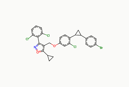 Clc1cc(OCc2c(-c3c(Cl)cccc3Cl)noc2C2CC2)ccc1C1CC1c1ccc(Br)cc1